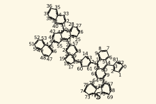 c1ccc(-c2c3ccccc3c(-c3ccc(-c4cccc5cc(-c6c7ccccc7c(-c7ccc8ccccc8c7)c7ccc(-c8cccc9ccccc89)cc67)ccc45)cc3)c3ccc(-c4cccc5sc6ccccc6c45)cc23)cc1